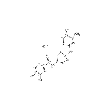 Cc1cc(NC2CCC(NC(=O)c3ccc(F)c(Cl)c3)CC2)ncc1F.Cl